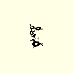 COc1cc(F)cc(C(=O)Nc2cn3nc(-c4cn(C)nc4-c4ccc(F)cc4)ccc3n2)c1